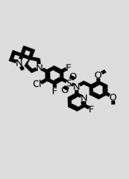 COc1ccc(CN(c2cccc(F)n2)S(=O)(=O)c2c(F)cc(N3CC[C@@]4(CCC45CCN5C)C3)c(Cl)c2F)c(OC)c1